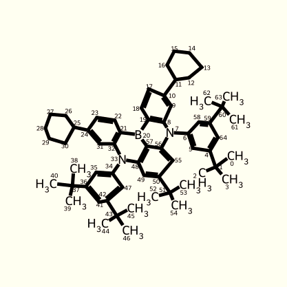 CC(C)(C)c1cc(N2c3cc(C4CCCCC4)ccc3B3c4ccc(C5CCCCC5)cc4N(c4cc(C(C)(C)C)cc(C(C)(C)C)c4)c4cc(C(C)(C)C)cc2c43)cc(C(C)(C)C)c1